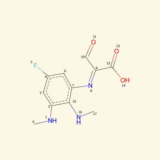 CNc1cc(F)cc(/N=C(\C=O)C(=O)O)c1NC